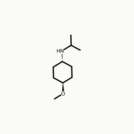 CO[C@H]1CC[C@H](NC(C)C)CC1